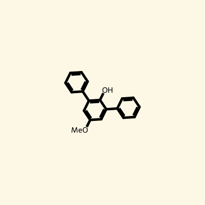 COc1cc(-c2ccccc2)c(O)c(-c2ccccc2)c1